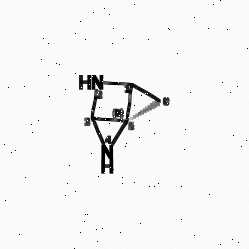 C1C2NC3N[C@]123